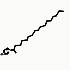 CCCCCCCCCCCCCCCCC(C)[n+]1cc[nH]c1